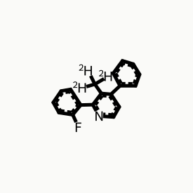 [2H]C([2H])([2H])c1c(-c2ccccc2)ccnc1-c1ccccc1F